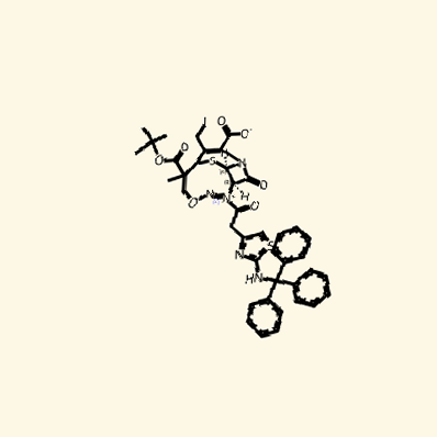 CC(C)(C)OC(=O)C1(C)CO/N=[N+](\C(=O)Cc2csc(NC(c3ccccc3)(c3ccccc3)c3ccccc3)n2)[C@@H]2C(=O)N3C(C(=O)[O-])=C(CI)C1S[C@H]23